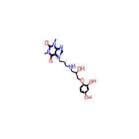 Cn1c(=O)c2c(ncn2CCCNCC(O)COc2ccc(O)cc2O)n(C)c1=O